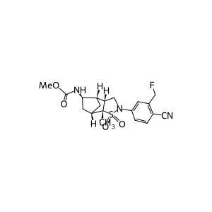 COC(=O)N[C@@H]1C[C@@H]2C[C@H]1[C@@H]1CN(c3ccc(C#N)c(CF)c3)S(=O)(=O)[C@]21C